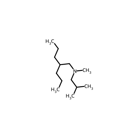 CCCC(CCC)CN(C)CC(C)C